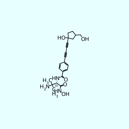 CC(C)(N)[C@H](NC(=O)c1ccc(C#CC#CC2(O)CCC(CO)C2)cc1)C(=O)NO